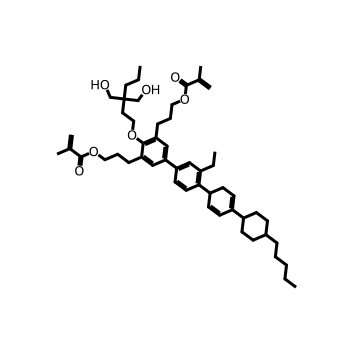 C=C(C)C(=O)OCCCc1cc(-c2ccc(C3C=CC(C4CCC(CCCCC)CC4)=CC3)c(CC)c2)cc(CCCOC(=O)C(=C)C)c1OCCC(CO)(CO)CCC